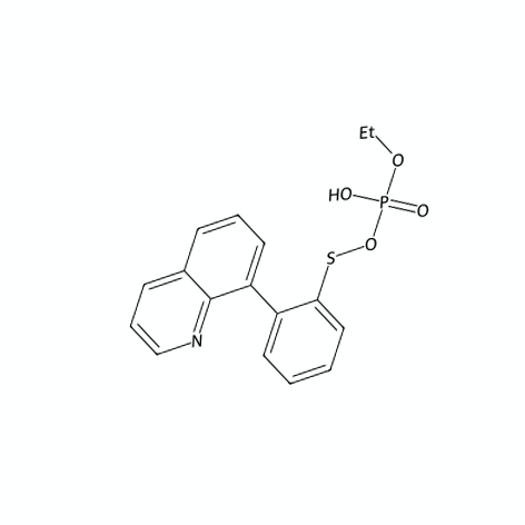 CCOP(=O)(O)OSc1ccccc1-c1cccc2cccnc12